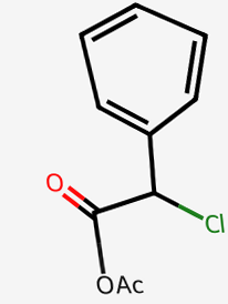 CC(=O)OC(=O)C(Cl)c1ccccc1